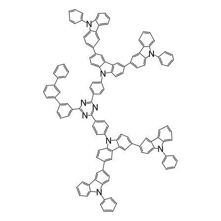 c1ccc(-c2cccc(-c3cccc(-c4nc(-c5ccc(-n6c7ccc(-c8ccc9c(c8)c8ccccc8n9-c8ccccc8)cc7c7cc(-c8ccc9c(c8)c8ccccc8n9-c8ccccc8)ccc76)cc5)nc(-c5ccc(-n6c7ccc(-c8ccc9c(c8)c8ccccc8n9-c8ccccc8)cc7c7cc(-c8ccc9c(c8)c8ccccc8n9-c8ccccc8)ccc76)cc5)n4)c3)c2)cc1